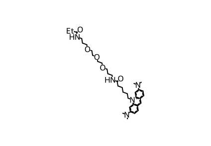 CCC(=O)NCCCOCCOCCOCCCNC(=O)CCCCC[n+]1c2cc(N(C)C)ccc2cc2ccc(N(C)C)cc21